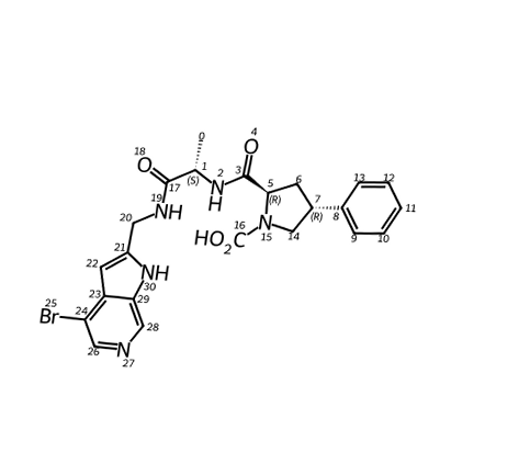 C[C@H](NC(=O)[C@H]1C[C@H](c2ccccc2)CN1C(=O)O)C(=O)NCc1cc2c(Br)cncc2[nH]1